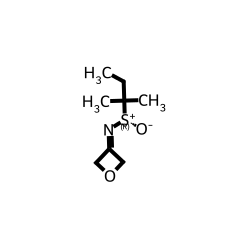 CCC(C)(C)[S@+]([O-])N=C1COC1